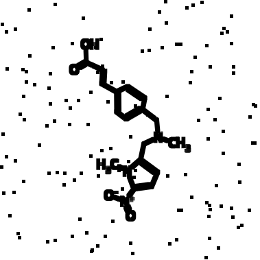 CN(Cc1ccc(/C=C/C(=O)O)cc1)Cc1ccc([N+](=O)[O-])n1C